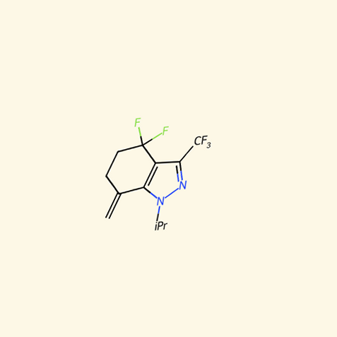 C=C1CCC(F)(F)c2c(C(F)(F)F)nn(C(C)C)c21